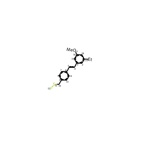 CCc1cc(/C=C/c2ccc(CSF)cc2)cc(OC)c1